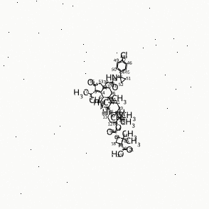 CC(C)C1=C2C3CC[C@@H]4[C@@]5(C)CC[C@H](OC(=O)[C@H]6C[C@@H](C(=O)O)C6(C)C)C(C)(C)[C@@H]5CC[C@@]4(C)[C@]3(C)CC[C@@]2(CC(=O)NC2(c3ccc(Cl)cc3)CC2)CC1=O